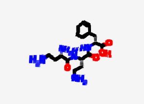 NCC[C@H](NC(=O)[C@@H](N)CCN)C(=O)N[C@H](Cc1ccccc1)C(=O)O